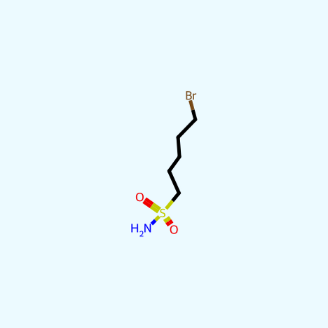 NS(=O)(=O)CCCCCBr